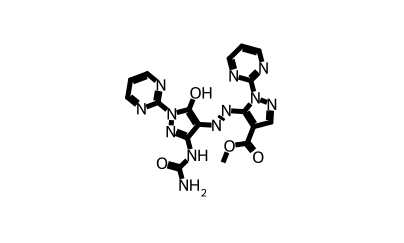 COC(=O)c1cnn(-c2ncccn2)c1N=Nc1c(NC(N)=O)nn(-c2ncccn2)c1O